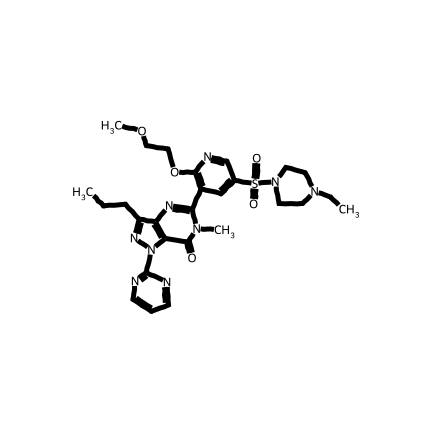 CCCc1nn(-c2ncccn2)c2c(=O)n(C)c(-c3cc(S(=O)(=O)N4CCN(CC)CC4)cnc3OCCOC)nc12